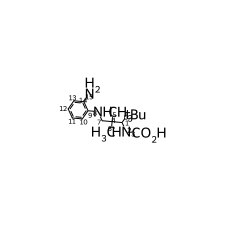 CC(C)(C)C(NC(=O)O)C(C)(C)CNc1ccccc1N